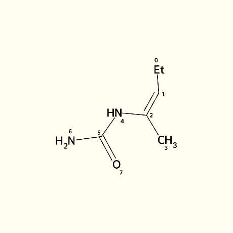 CCC=C(C)NC(N)=O